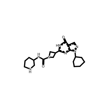 O=C(NC1CCCNC1)N1CC(c2nc3c(cnn3C3CCCCC3)c(=O)[nH]2)C1